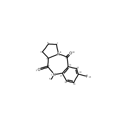 CN1C(=O)C2CCCN2C(=O)c2cc(F)ccc21